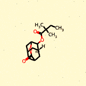 CCC(C)(C)C(=O)OC1C2CC3CC(C[C@@H]1C3)C(=O)O2